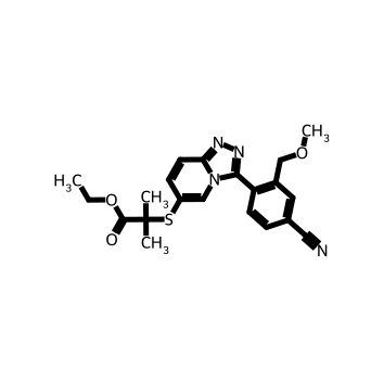 CCOC(=O)C(C)(C)Sc1ccc2nnc(-c3ccc(C#N)cc3COC)n2c1